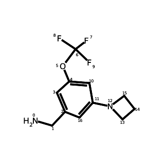 NCc1cc(OC(F)(F)F)cc(N2CCC2)c1